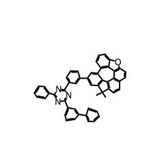 CC1(C)c2cc(-c3cccc(-c4nc(-c5ccccc5)nc(-c5cccc(-c6ccccc6)c5)n4)c3)cc3c2-c2c1ccc1ccc4oc5cccc-3c5c4c21